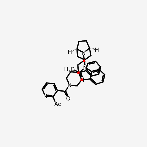 CC(=O)c1ncccc1C(=O)N1CCC(CCN2[C@@H]3CC[C@H]2CC(n2c(C)nc4ccccc42)C3)(c2ccccc2)CC1